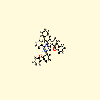 c1ccc(-c2cccc3ccccc23)c(-c2nc(-c3cccc4c3oc3ccccc34)nc(-c3cccc4c3oc3ccccc34)n2)c1